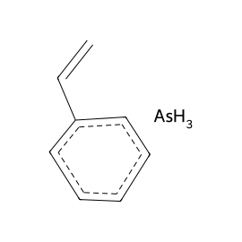 C=Cc1ccccc1.[AsH3]